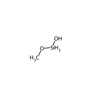 CO[SiH2]O